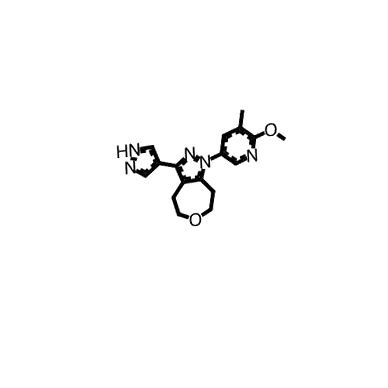 COc1ncc(-n2nc(-c3cn[nH]c3)c3c2CCOCC3)cc1C